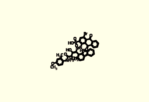 C=C(C(=O)Nc1ccc(OC)cc1C)/C(O)=C(/N=Nc1c(S(=O)(=O)O)cc(Br)c2c1C(=O)c1ccccc1C2=O)c1c(C)ccc2c1[nH]c1ccccc12